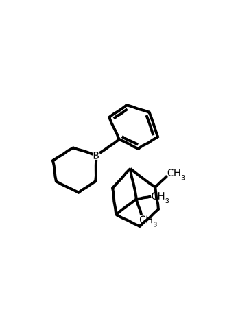 CC1CCC2CC1C2(C)C.c1ccc(B2CCCCC2)cc1